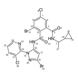 CC(NC(=O)c1cc(Cl)cc(Br)c1C(=O)Nc1cc(Br)nn1-c1ncccc1Cl)C1CC1